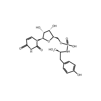 O=C(O)[C@H](Cc1ccc(O)cc1)NP(=O)(O)OC[C@H]1O[C@@H](n2ccc(=O)[nH]c2=O)[C@H](O)[C@@H]1O